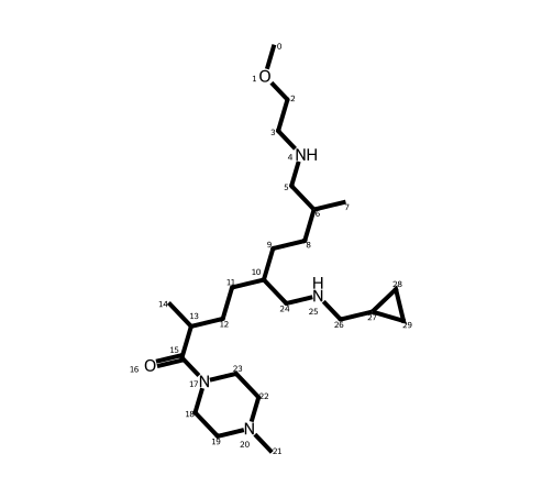 COCCNCC(C)CCC(CCC(C)C(=O)N1CCN(C)CC1)CNCC1CC1